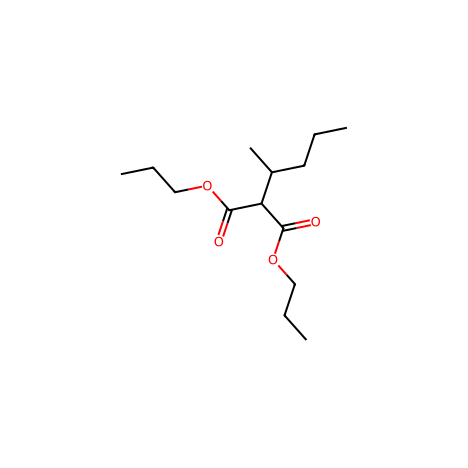 CCCOC(=O)C(C(=O)OCCC)C(C)CCC